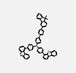 CC1(C)c2ccccc2-c2cc(-c3ccc(-c4ccc(N(c5ccc(-c6cccc7c6oc6ccccc67)cc5)c5ccc(-c6cccc7sc8ccccc8c67)cc5)cc4)cc3)ccc21